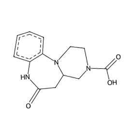 O=C1CC2CN(C(=O)O)CCN2c2ccccc2N1